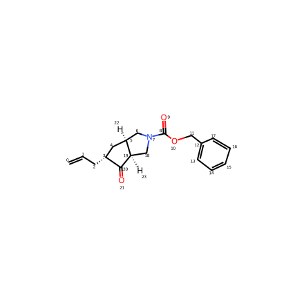 C=CC[C@@H]1C[C@H]2CN(C(=O)OCc3ccccc3)C[C@H]2C1=O